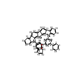 c1ccc(-c2nc(-c3ccccc3)nc(-n3c4ccccc4c4ccc5c6ccc7c8ccccc8n(-c8ccc9ccccc9c8)c7c6sc5c43)n2)cc1